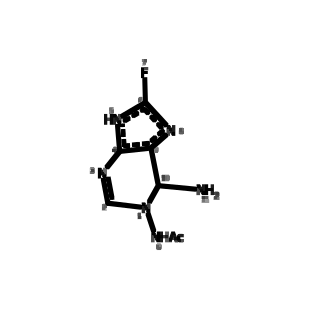 CC(=O)NN1C=Nc2[nH]c(F)nc2C1N